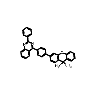 CC1(C)c2ccccc2Oc2cc(-c3ccc(-c4nc(-c5ccccc5)nc5ccccc45)cc3)ccc21